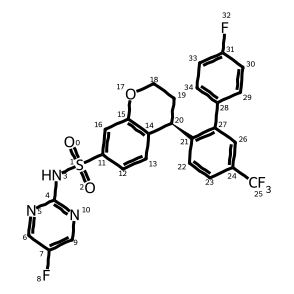 O=S(=O)(Nc1ncc(F)cn1)c1ccc2c(c1)OCC[C@H]2c1ccc(C(F)(F)F)cc1-c1ccc(F)cc1